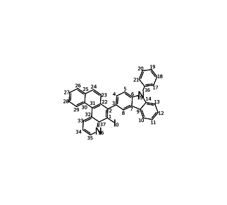 Ic1c(-c2ccc3c(c2)c2ccccc2n3-c2ccccc2)c2ccc3ccccc3c2c2cccnc12